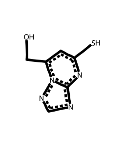 OCc1cc(S)nc2ncnn12